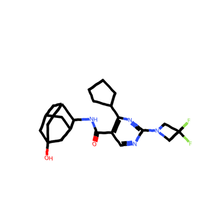 O=C(NC1C2CC3CC1CC(O)(C3)C2)c1cnc(N2CC(F)(F)C2)nc1C1CCCC1